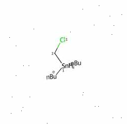 CCC[CH2][SnH]([CH2]Cl)[CH2]CCC